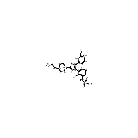 CCCS(=O)(=O)Nc1cccc(-c2nc(N3CCC(CCO)CC3)sc2-c2ccnc(Cl)n2)c1F